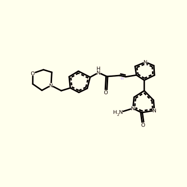 Nn1cc(-c2ccncc2/C=C/C(=O)Nc2ccc(CN3CCOCC3)cc2)cnc1=O